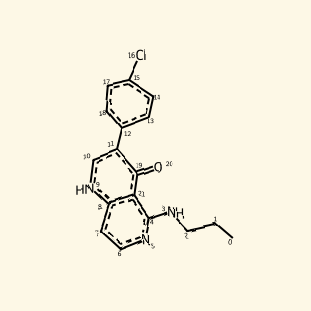 CCCNc1nccc2[nH]cc(-c3ccc(Cl)cc3)c(=O)c12